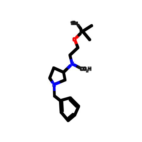 CC(C)(C)[Si](C)(C)OCCN(C(=O)O)C1CCN(Cc2ccccc2)C1